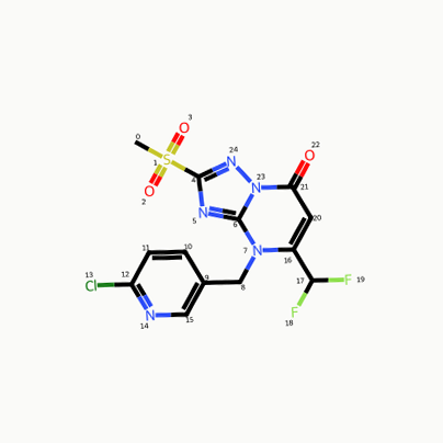 CS(=O)(=O)c1nc2n(Cc3ccc(Cl)nc3)c(C(F)F)cc(=O)n2n1